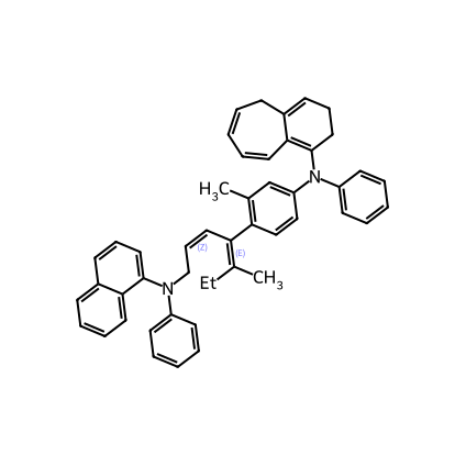 CC/C(C)=C(\C=C/CN(c1ccccc1)c1cccc2ccccc12)c1ccc(N(C2=C3C=CC=CCC3=CCC2)c2ccccc2)cc1C